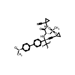 C[S+]([O-])c1ccc(-c2ccc([C@](C#CC3CC3)(N[C@@H](CS(C)(=O)=O)C(=O)NC3(C#N)CC3)C(F)(F)F)cc2)cc1